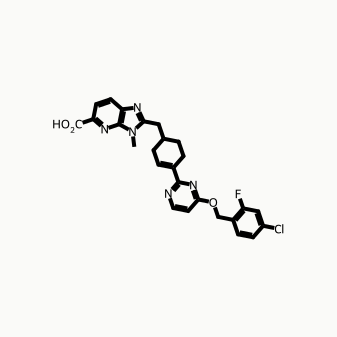 Cn1c(CC2CC=C(c3nccc(OCc4ccc(Cl)cc4F)n3)CC2)nc2ccc(C(=O)O)nc21